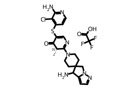 C[C@@H]1C(=O)C(Sc2ccnc(N)c2Cl)=CN=C1N1CCC2(CC1)Cn1nccc1C2N.O=C(O)C(F)(F)F